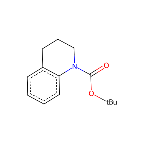 CC(C)(C)OC(=O)N1CCCc2ccccc21